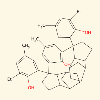 CCc1cc(C)cc(C2(c3cc(C)cc(C4(c5cc(C)cc(CC)c5O)CCC5C6CCC(C6)C54)c3O)CCC3C4CCC(C4)C32)c1O